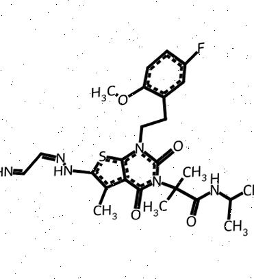 COc1ccc(F)cc1CCn1c(=O)n(C(C)(C)C(=O)NC(C)C)c(=O)c2c(C)c(N/N=C\C=N)sc21